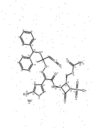 CC(C=C=O)(ON=C(C(=O)N[C@@H]1C(=O)N(S(=O)(=O)[O-])[C@@H]1COC(N)=O)c1csc(N)n1)OC(c1ccccc1)c1ccccc1.[Na+]